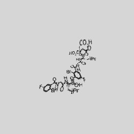 CC(C)C[C@H](NC(=O)CNC(=O)c1cc(F)ccc1Br)B(O)Oc1cc(F)cc(C(=O)NCC(=O)N[C@@H](CC(C)C)B2OC(=O)CC(CC(=O)O)(C(=O)O)O2)c1Br